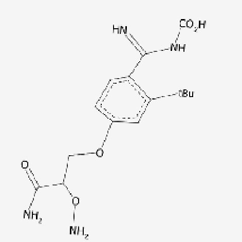 CC(C)(C)c1cc(OCC(ON)C(N)=O)ccc1C(=N)NC(=O)O